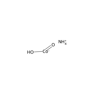 [NH4+].[O]=[Co-][OH]